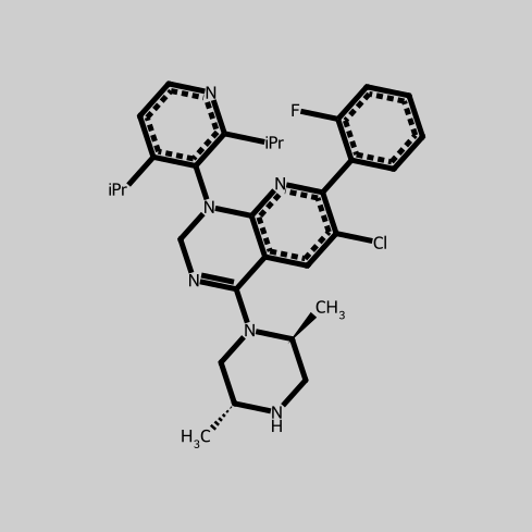 CC(C)c1ccnc(C(C)C)c1N1CN=C(N2C[C@@H](C)NC[C@@H]2C)c2cc(Cl)c(-c3ccccc3F)nc21